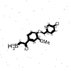 BCC(=O)c1ccc(OCc2ccc(Cl)cn2)c(OC)c1